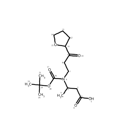 CC(CC(=O)O)N(CCC(=O)C1CCCO1)C(=O)OC(C)(C)C